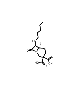 CCCCCNC1C(=O)N2CC(C(=O)O)(C(=O)O)CS[C@H]12